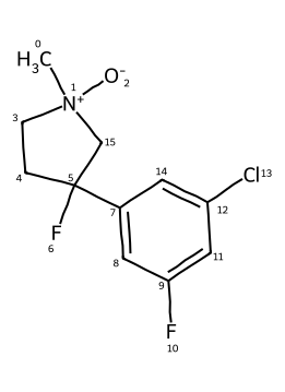 C[N+]1([O-])CCC(F)(c2cc(F)cc(Cl)c2)C1